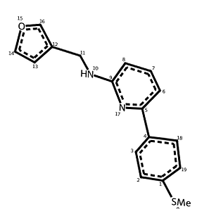 CSc1ccc(-c2cccc(NCc3ccoc3)n2)cc1